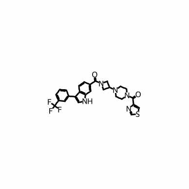 O=C(c1ccc2c(-c3cccc(C(F)(F)F)c3)c[nH]c2c1)N1CC(N2CCN(C(=O)c3cscn3)CC2)C1